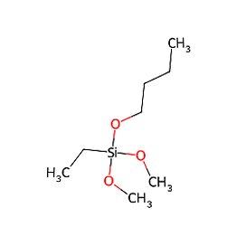 CCCCO[Si](CC)(OC)OC